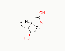 C=C[C@@H]1[C@H]2CC(O)O[C@H]2C[C@H]1O